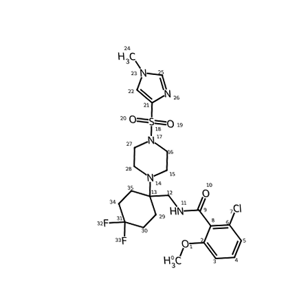 COc1cccc(Cl)c1C(=O)NCC1(N2CCN(S(=O)(=O)c3cn(C)cn3)CC2)CCC(F)(F)CC1